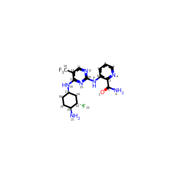 NC(=O)c1ncccc1Nc1ncc(C(F)(F)F)c(N[C@@H]2CC[C@H](N)[C@@H](F)C2)n1